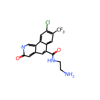 NCCNC(=O)c1cc2c(c3cc(Cl)c(C(F)(F)F)cc13)=C[N]C(=O)C=2